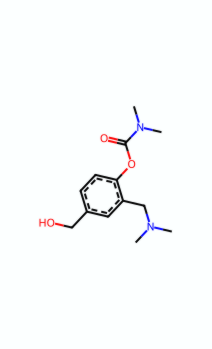 CN(C)Cc1cc(CO)ccc1OC(=O)N(C)C